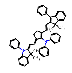 CC1(C)C(/C=C/C2=C(N(c3ccccc3)c3ccccc3)C(=C/C=C3/N(c4ccccc4)c4ccccc4C3(C)C)/CC2)=C(c2ccccc2)c2ccccc21